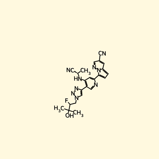 C[C@H](C#N)Nc1cc(-c2ccc3cc(C#N)cnn23)ncc1-c1cn(CC(F)C(C)(C)O)nn1